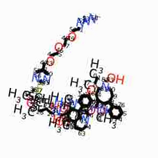 CCC[C@H]1C[C@](C(=O)OC)(c2cc3c(cc2OC)N(C)[C@H]2[C@@](O)(C(=O)NCCC[Si](C)(C)O[Si](C)(C)CSc4ncc(COCCOCCOCCN=[N+]=[N-])cn4)[C@H](O)[C@]4(CC)C=CCN5CC[C@]32[C@@H]54)c2[nH]c3ccccc3c2CCN1CO